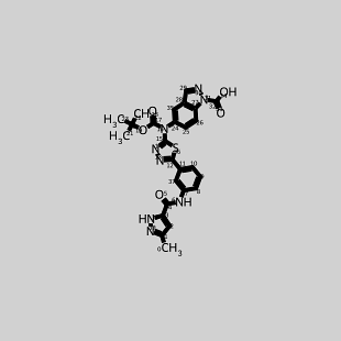 Cc1cc(C(=O)Nc2cccc(-c3nnc(N(C(=O)OC(C)(C)C)c4ccc5c(cnn5C(=O)O)c4)s3)c2)[nH]n1